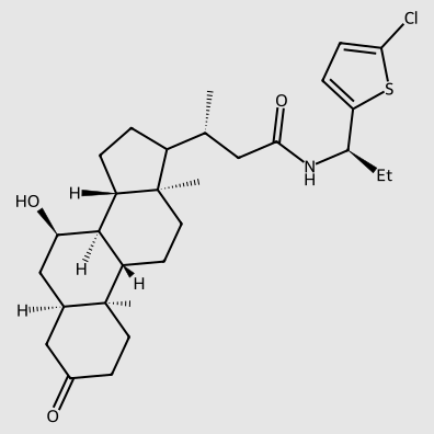 CC[C@@H](NC(=O)C[C@@H](C)C1CC[C@H]2[C@@H]3[C@H](O)C[C@@H]4CC(=O)CC[C@]4(C)[C@H]3CC[C@]12C)c1ccc(Cl)s1